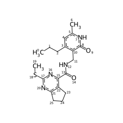 CCCc1cc(C)[nH]c(=O)c1CNC(=O)c1nc(SC)nc2c1CCC2